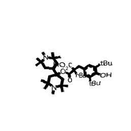 CCCCC(Cc1cc(C(C)(C)C)c(O)c(C(C)(C)C)c1)(C(=O)O)C(=O)OC1(C2CC(C)(C)N(C)C(C)(C)C2)CC(C)(C)N(C)C(C)(C)C1